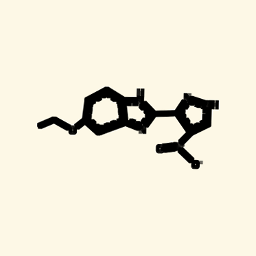 CCOc1ccc2[nH]c(-c3n[nH]cc3[N+](=O)[O-])nc2c1